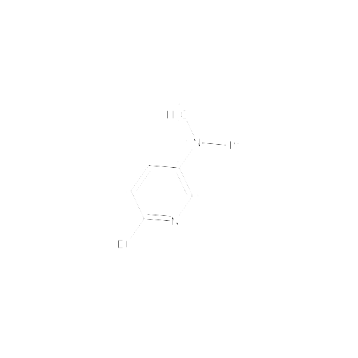 CCc1ccc(N(C)C(C)C)cn1